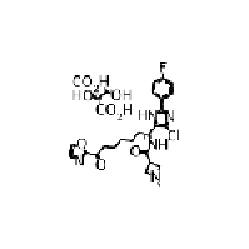 CN1CC(C(=O)N[C@@H](CCCCCC(=O)c2ncco2)c2[nH]c(-c3ccc(F)cc3)nc2Cl)C1.O=C(O)[C@H](O)[C@@H](O)C(=O)O